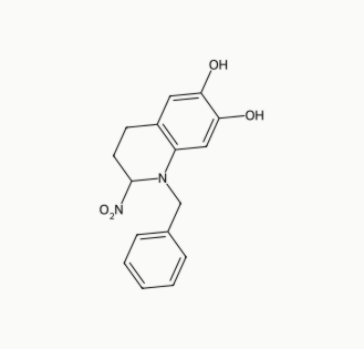 O=[N+]([O-])C1CCc2cc(O)c(O)cc2N1Cc1ccccc1